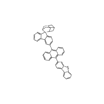 c1ccc2c(c1)-c1cc(-c3c4ccccc4c(-c4ccc5c(c4)sc4ccccc45)c4ccccc34)ccc1C21C2CC3CC(C2)CC1C3